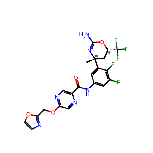 C[C@]1(c2cc(NC(=O)c3cnc(OCc4ncco4)cn3)cc(F)c2F)C[C@@H](C(F)(F)F)OC(N)=N1